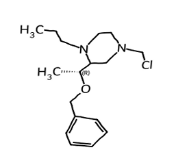 CCCN1CCN(CCl)CC1[C@@H](C)OCc1ccccc1